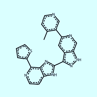 Cc1ccncc1-c1cc2c(-c3nc4c(-c5cccs5)nccc4[nH]3)n[nH]c2cn1